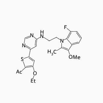 CCOc1cc(-c2cc(NCCn3c(C)c(OC)c4cccc(F)c43)ncn2)sc1C(C)=O